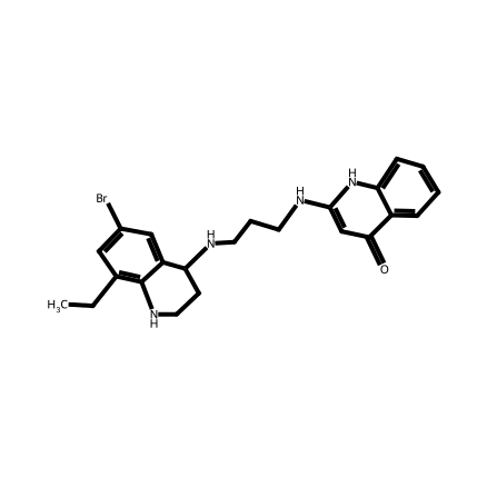 CCc1cc(Br)cc2c1NCCC2NCCCNc1cc(=O)c2ccccc2[nH]1